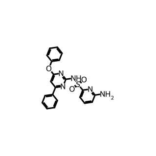 Nc1cccc(S(=O)(=O)Nc2nc(Oc3ccccc3)cc(-c3ccccc3)n2)n1